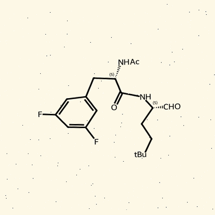 CC(=O)N[C@@H](Cc1cc(F)cc(F)c1)C(=O)N[C@H](C=O)CCC(C)(C)C